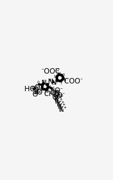 Cc1nc(N=Nc2cc(C(=O)[O-])cc(C(=O)[O-])c2)c(COP(=O)([O-])[O-])c(C=O)c1OP(=O)([O-])O.[K+].[K+].[K+].[K+].[K+]